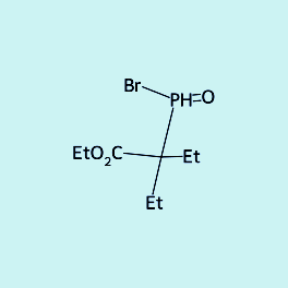 CCOC(=O)C(CC)(CC)[PH](=O)Br